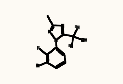 [2H]C([2H])(O)c1nc(C)nn1-c1cccc(Br)c1F